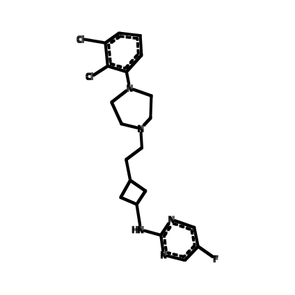 Fc1cnc(NC2CC(CCN3CCN(c4cccc(Cl)c4Cl)CC3)C2)nc1